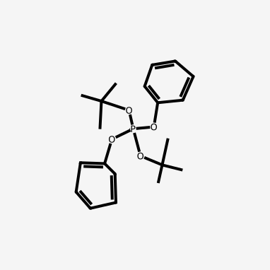 CC(C)(C)O[P](Oc1ccccc1)(Oc1ccccc1)OC(C)(C)C